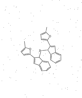 Cc1ccc(C2=Cc3ccccc3[CH]2[Zr][CH]2C(c3ccc(C)o3)=Cc3ccccc32)o1